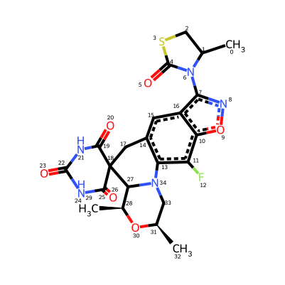 CC1CSC(=O)N1c1noc2c(F)c3c(cc12)CC1(C(=O)NC(=O)NC1=O)C1[C@H](C)O[C@H](C)CN31